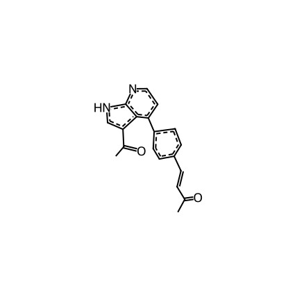 CC(=O)C=Cc1ccc(-c2ccnc3[nH]cc(C(C)=O)c23)cc1